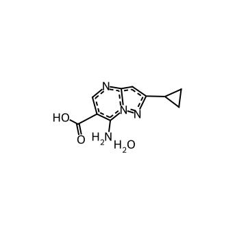 Nc1c(C(=O)O)cnc2cc(C3CC3)nn12.O